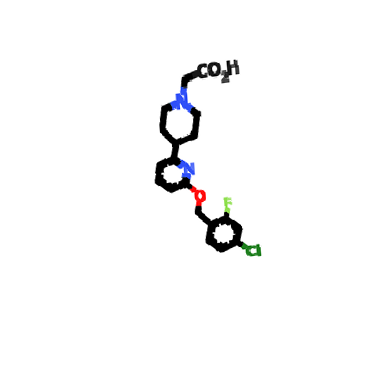 O=C(O)CN1CCC(c2cccc(OCc3ccc(Cl)cc3F)n2)CC1